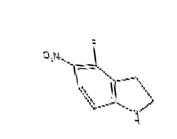 O=[N+]([O-])c1ccc2c(c1F)CCN2